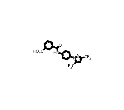 O=C(O)c1cccc(C(=O)Nc2ccc(-n3nc(C(F)(F)F)cc3C(F)(F)F)cc2)c1